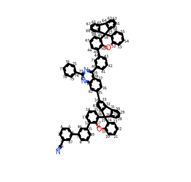 N#Cc1cccc(-c2cccc(-c3cccc4c3Oc3ccccc3C43c4ccccc4-c4cc(-c5ccc6c(-c7cccc(-c8cccc9c8Oc8ccccc8C98c9ccccc9-c9ccccc98)c7)nc(-c7ccccc7)nc6c5)ccc43)c2)c1